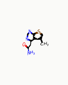 Cc1csc2ncnc(CC(N)=O)c12